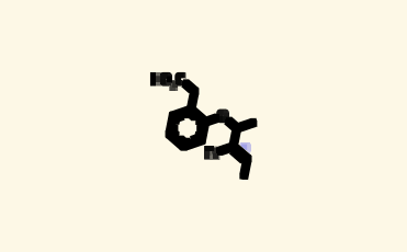 C/C=C(\CC)C(C)Oc1ccccc1CC(=O)O